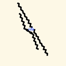 CCCCCCCCCC#CC#CCCCCCCCCC.CCCCCCCCCCCCCCCCNCCCCCCCCCCCCCCCC